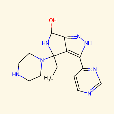 CCC1(N2CCNCC2)NC(O)c2n[nH]c(-c3ccncn3)c21